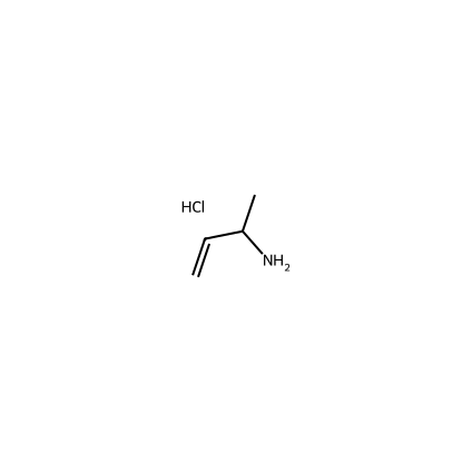 C=CC(C)N.Cl